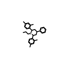 CCCP1C(c2ccc(C)cc2C)CC(c2ccccc2)CC1c1ccc(C)cc1C